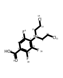 O=C(O)c1cc(F)c(N(CCCl)CCCl)c(F)c1F